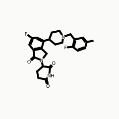 Cc1ccc(F)c(CN2CCC(c3cc(F)cc4c3CN(C3CCC(=O)NC3=O)C4=O)CC2)c1